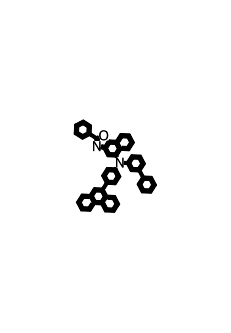 c1ccc(-c2cccc(N(c3ccc(-c4cc5ccccc5c5ccccc45)cc3)c3cc4nc(-c5ccccc5)oc4c4ccccc34)c2)cc1